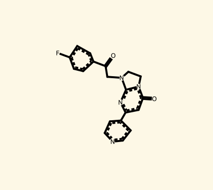 O=C(CN1CCn2c1nc(-c1ccncc1)cc2=O)c1ccc(F)cc1